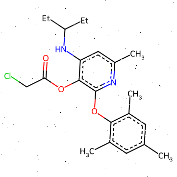 CCC(CC)Nc1cc(C)nc(Oc2c(C)cc(C)cc2C)c1OC(=O)CCl